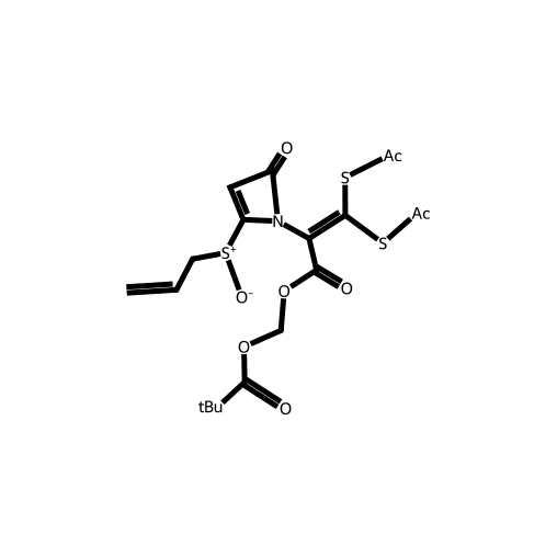 C=CC[S+]([O-])C1=CC(=O)N1C(C(=O)OCOC(=O)C(C)(C)C)=C(SC(C)=O)SC(C)=O